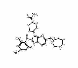 N#Cc1cc(F)c(Nc2nc3cnc(N[C@H]4CCCOCC4)nc3n2C2CCC(C(N)=O)CC2)c(Cl)c1